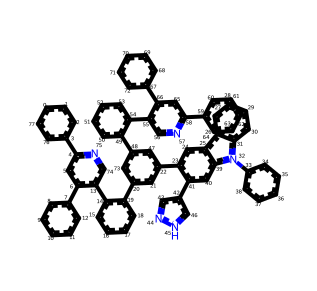 c1ccc(-c2cc(-c3ccccc3)c(-c3ccccc3-c3cc(-c4cc5c6ccccc6n(-c6ccccc6)c5cc4-c4cn[nH]c4)cc(-c4ccccc4-c4cnc(-c5ccccc5)cc4-c4ccccc4)c3)cn2)cc1